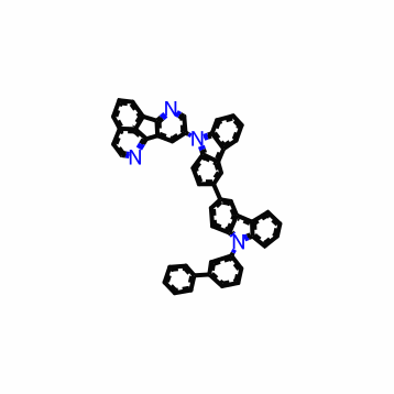 c1ccc(-c2cccc(-n3c4ccccc4c4cc(-c5ccc6c(c5)c5ccccc5n6-c5cnc6c(c5)-c5nccc7cccc-6c57)ccc43)c2)cc1